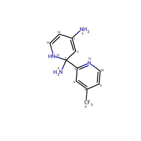 NC1=CC(N)(c2cc(C(F)(F)F)ccn2)NC=C1